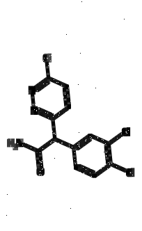 NC(=O)C(c1ccc(Cl)c(Cl)c1)c1ccc(Cl)nn1